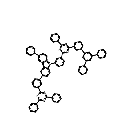 c1ccc(-c2cc(-c3ccccc3)cc(-c3cccc(-c4nc(-c5ccccc5)nc(-c5cccc(-n6c7ccc(-c8ccccc8)cc7c7cc(-c8cccc(-c9nc(-c%10ccccc%10)nc(-c%10ccccc%10)n9)c8)ccc76)c5)n4)c3)c2)cc1